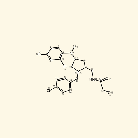 N#Cc1ccc([S+]([O-])N2CC(CNC(=O)CO)[C@@H](Sc3ccc(Cl)cn3)C2)c(Cl)c1